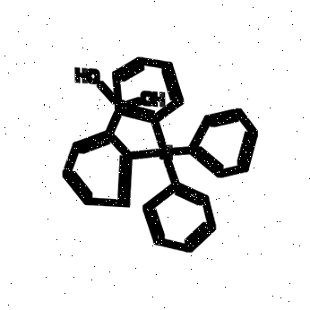 OB(O)c1ccccc1[Si](c1ccccc1)(c1ccccc1)c1ccccc1